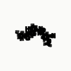 CC(C)Oc1ccc(-c2nc(-c3cccc4c3CC[C@@H]4NC(=O)N3CC[C@H](C)C3)no2)cc1C#N